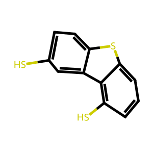 Sc1ccc2sc3cccc(S)c3c2c1